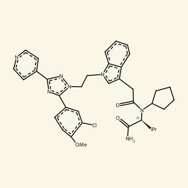 COc1ccc(-c2nc(-c3ccncc3)nn2CCn2cc(CC(=O)N(C3CCCC3)[C@H](C(N)=O)C(C)C)c3ccccc32)cc1Cl